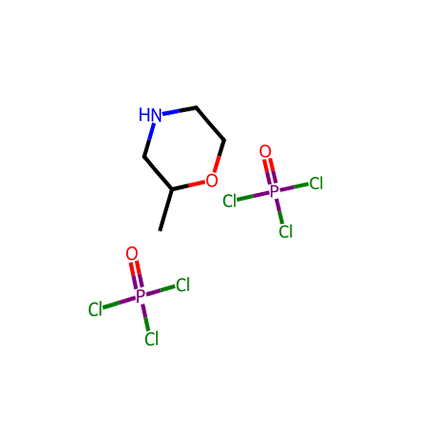 CC1CNCCO1.O=P(Cl)(Cl)Cl.O=P(Cl)(Cl)Cl